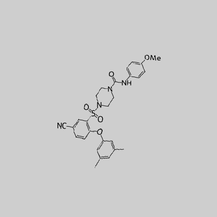 COc1ccc(NC(=O)N2CCN(S(=O)(=O)c3cc(C#N)ccc3Oc3cc(C)cc(C)c3)CC2)cc1